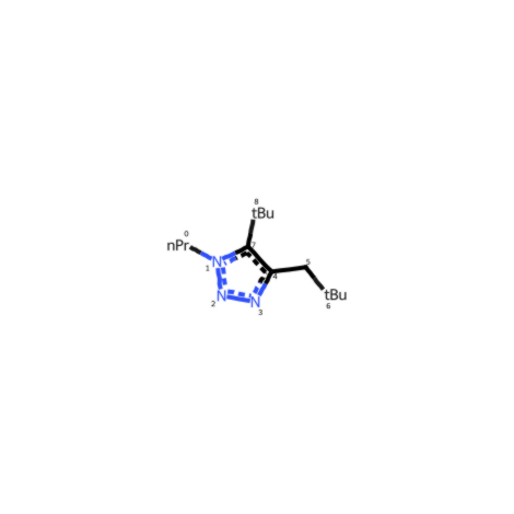 CCCn1nnc(CC(C)(C)C)c1C(C)(C)C